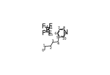 CCCCCc1cccnc1.F[B-](F)(F)F